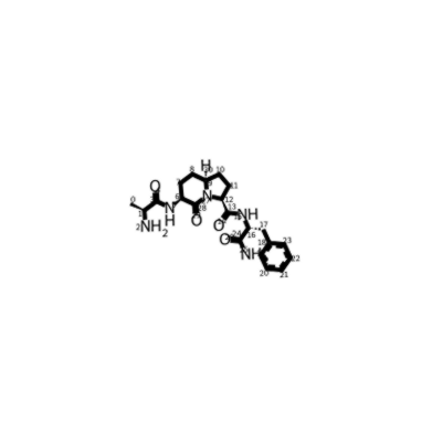 C[C@H](N)C(=O)N[C@H]1CC[C@H]2CC[C@@H](C(=O)N[C@H](Cc3ccccc3)C(N)=O)N2C1=O